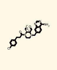 CC[C@H]1C(C=O)N(Cc2ccc3c(N)ncnc3c2)CCN1C(=O)CCc1ccc(Cl)cc1